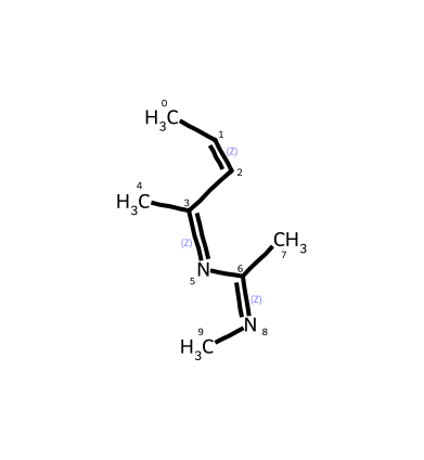 C\C=C/C(C)=N\C(C)=N/C